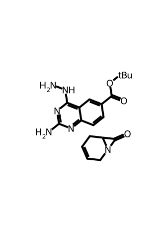 CC(C)(C)OC(=O)c1ccc2nc(N)nc(NN)c2c1.O=C1C2CC=CCN12